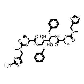 CC(C)[C@H](NC(=O)N(C)Cc1cscn1)C(=O)N[C@@H](Cc1ccccc1)[C@H](O)[C@@H](O)[C@H](Cc1ccccc1)NC(=O)[C@@H](NC(=O)N(C)Cc1csc(N)n1)C(C)C